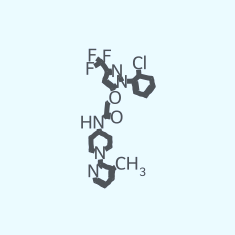 Cc1cccnc1N1CCC(NC(=O)COc2cc(C(F)(F)F)nn2C2=CC=CCC2Cl)CC1